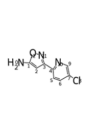 Nc1cc(-c2ccc(Cl)cn2)no1